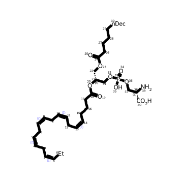 CC/C=C\C/C=C\C/C=C\C/C=C\C/C=C\CCCC(=O)O[C@H](COC(=O)CCCCCCCCCCCCCC)COP(=O)(O)OC[C@H](N)C(=O)O